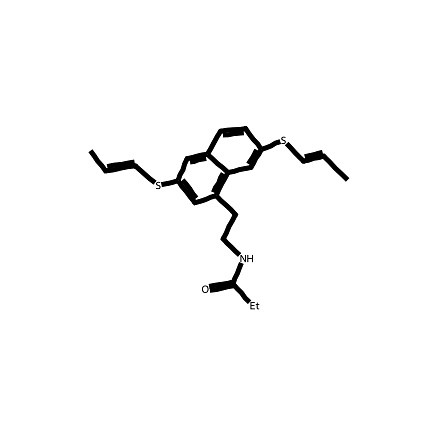 CC=CSc1cc(CCNC(=O)CC)c2cc(SC=CC)ccc2c1